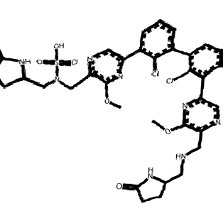 COc1nc(-c2cccc(-c3cccc(-c4cnc(CN(CC5CCC(=O)N5)S(=O)(=O)O)c(OC)n4)c3Cl)c2Cl)cnc1CNCC1CCC(=O)N1